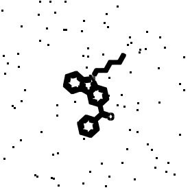 CCCCCn1c2ccccc2c2cc(C(=O)c3ccccc3)ccc21